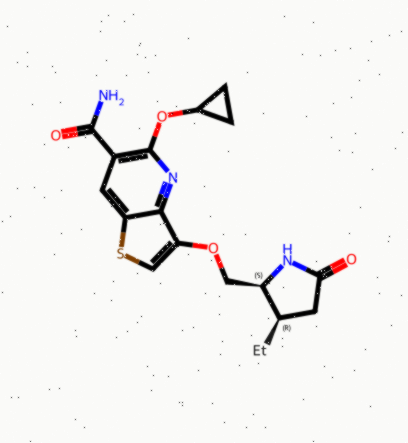 CC[C@@H]1CC(=O)N[C@@H]1COc1csc2cc(C(N)=O)c(OC3CC3)nc12